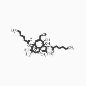 CCCCCC(=O)O[C@@H]1[C@@H]2C=C(CO)[C@@H](O)[C@]3(O)[C@@H](OC(=O)CCCCC)C(C)=C[C@@]3(C2=O)[C@H](C)CC1(C)C